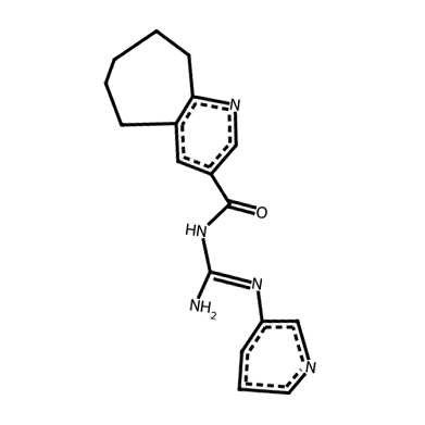 NC(=Nc1cccnc1)NC(=O)c1cnc2c(c1)CCCCC2